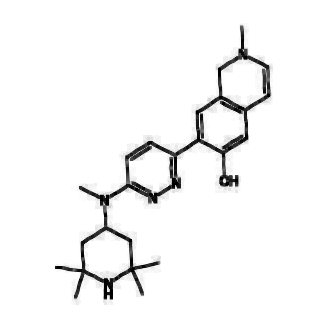 CN1C=Cc2cc(O)c(-c3ccc(N(C)C4CC(C)(C)NC(C)(C)C4)nn3)cc2C1